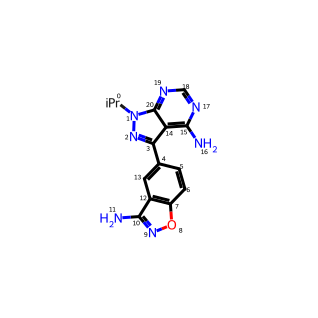 CC(C)n1nc(-c2ccc3onc(N)c3c2)c2c(N)ncnc21